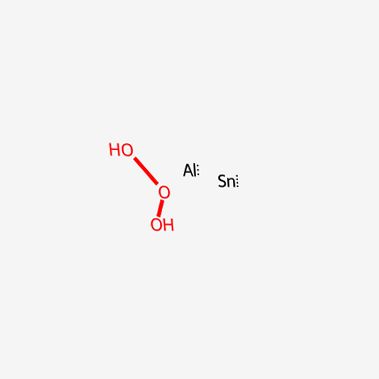 OOO.[Al].[Sn]